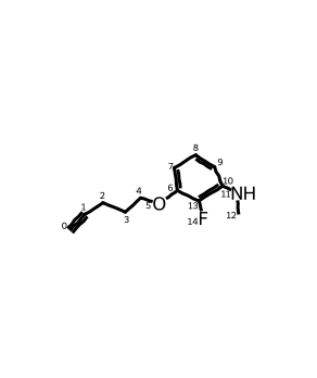 C#CCCCOc1cccc(NC)c1F